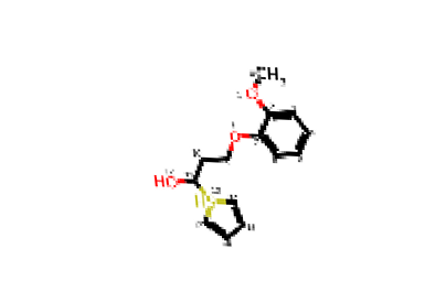 COc1ccccc1OCCC(O)[SH]1C=CC=C1